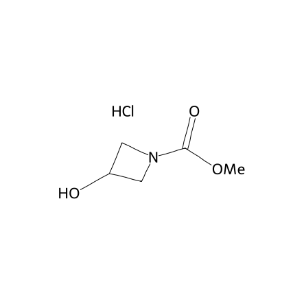 COC(=O)N1CC(O)C1.Cl